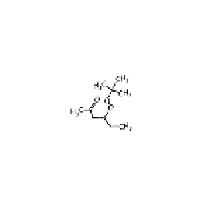 CCC(CC(C)=O)OOC(C)(C)C